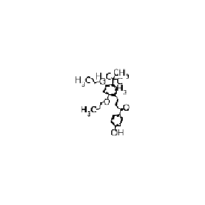 CCCOc1cc(OCCC)c(C(C)(C)C)cc1C=CC(=O)c1ccc(O)cc1